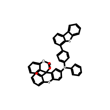 c1ccc(N(c2ccc(-c3cccc4c3sc3ccccc34)cc2)c2ccc3c(c2)C2(c4ccccc4Oc4ccccc42)c2ccccc2S3)cc1